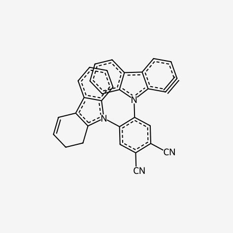 N#Cc1cc(-n2c3c(c4ccccc42)C=CCC3)c(-n2c3c#cccc3c3ccccc32)cc1C#N